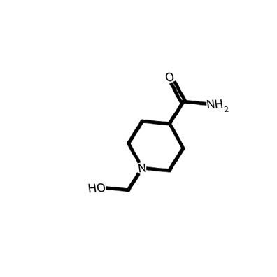 NC(=O)C1CCN(CO)CC1